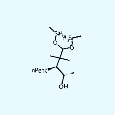 CCCCC[C@H]([C@H](C)O)C(C)(C)C(O[SiH2]C)O[SiH2]C